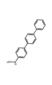 OBc1ccc(-c2ccc(-c3ccccc3)cc2)cc1